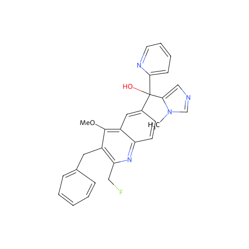 COc1c(Cc2ccccc2)c(CF)nc2ccc(C(O)(c3ccccn3)c3cncn3C)cc12